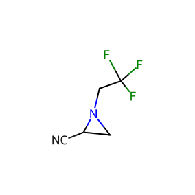 N#CC1CN1CC(F)(F)F